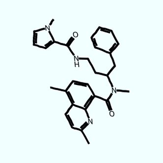 Cc1ccc2c(C)ccc(C(=O)N(C)C(CCNC(=O)c3cccn3C)Cc3ccccc3)c2n1